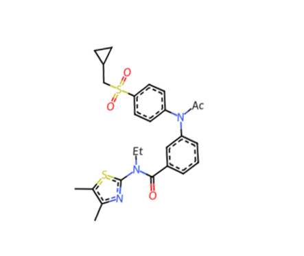 CCN(C(=O)c1cccc(N(C(C)=O)c2ccc(S(=O)(=O)CC3CC3)cc2)c1)c1nc(C)c(C)s1